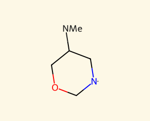 CNC1C[N]COC1